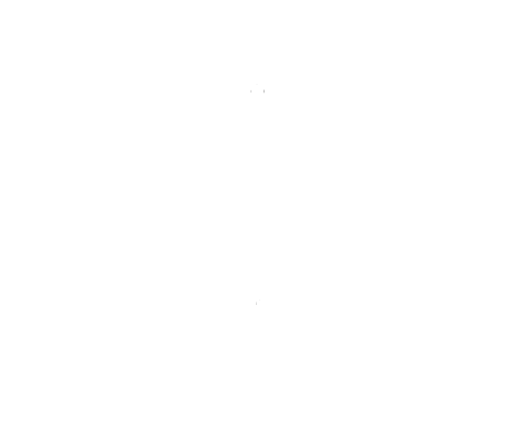 CCOc1c(C)cc([S+](c2ccccc2)c2ccccc2)cc1C